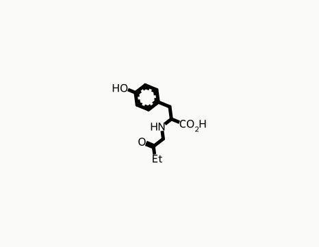 CCC(=O)CNC(Cc1ccc(O)cc1)C(=O)O